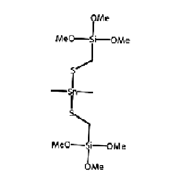 CO[Si](C[S][Sn]([CH3])([CH3])[S]C[Si](OC)(OC)OC)(OC)OC